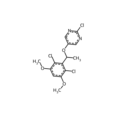 COc1cc(OC)c(Cl)c(C(C)Oc2cnc(Cl)nc2)c1Cl